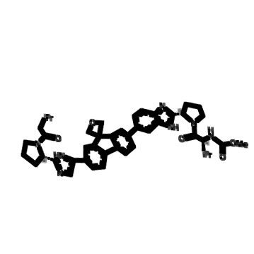 COC(=O)N[C@H](C(=O)N1CCC[C@H]1c1nc2ccc(-c3ccc4c(c3)C3(COC3)c3cc(-c5cnc([C@@H]6CCCN6C(=O)CC(C)C)[nH]5)ccc3-4)cc2[nH]1)C(C)C